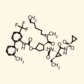 C=CCCCCN(C)C(=O)[C@@H]1C[C@H](OC(=O)Nc2cc(C(F)(F)F)ccc2-c2cccc(C)n2)C[C@H]1C(=O)N[C@]1(C(=O)NS(=O)(=O)C2CC2)C[C@H]1C=C